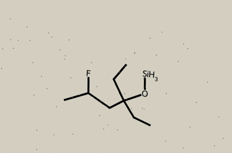 CCC(CC)(CC(C)F)O[SiH3]